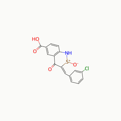 O=C(O)c1ccc2c(c1)C(=O)/C(=C/c1cccc(Cl)c1)[S+]([O-])N2